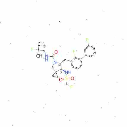 CC(C)(F)CNC(=O)N1CC2(CC2)[C@H](NS(=O)(=O)CF)[C@@H]1Cc1cccc(-c2cccc(F)c2)c1F